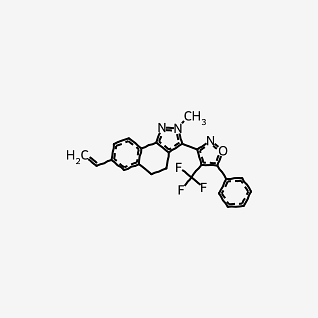 C=Cc1ccc2c(c1)CCc1c-2nn(C)c1-c1noc(-c2ccccc2)c1C(F)(F)F